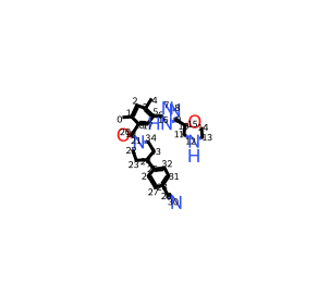 Cc1cc(C)c(-c2nnc(C3CNCCO3)[nH]2)cc1C(=O)N1CCC(c2ccc(C#N)cc2)CC1